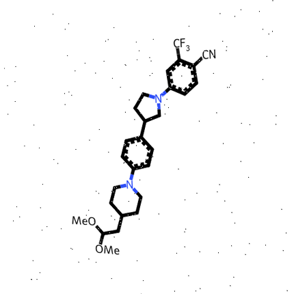 COC(CC1CCN(c2ccc(C3CCN(c4ccc(C#N)c(C(F)(F)F)c4)C3)cc2)CC1)OC